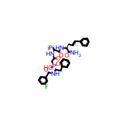 CC(C)C(NC(=O)CP(=O)(O)C(Cc1ccccc1)NC(=O)c1cccc(F)c1)C(=O)N[C@@H](C/C=C/c1ccccc1)C(N)=O